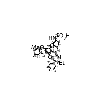 CCC1N=C([C@H](Cc2ccc(NS(=O)(=O)O)cc2)NC(=O)[C@H](Cc2ccccc2)C(=O)OC)SC1c1ccccc1